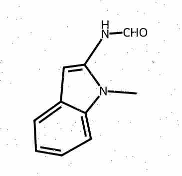 Cn1c(NC=O)cc2ccccc21